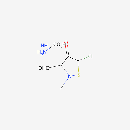 CN1SC(Cl)C(=O)C1C=O.N.NC(=O)O